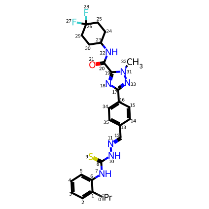 CC(C)c1ccccc1NC(=S)NN=Cc1ccc(-c2nc(C(=O)NC3CCC(F)(F)CC3)n(C)n2)cc1